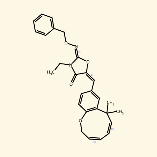 CCN1C(=O)/C(=C\c2ccc3c(c2)C(C)(C)/C=C\C=C/CO3)O/C1=N/OCc1ccccc1